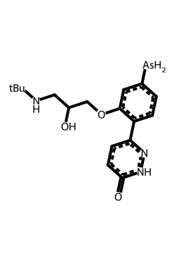 CC(C)(C)NCC(O)COc1cc([AsH2])ccc1-c1ccc(=O)[nH]n1